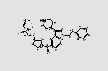 C=CS(=O)(=O)NCC1CCN(C(=O)c2ccc3c(c2)c(C2CCNCC2)cn3CCc2ccccc2)C1